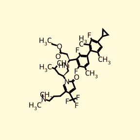 CCOC(=O)C[C@H](NC[C@H](CC(C)C)n1cc(CCCN(C)C)c(C(F)(F)F)cc1=O)c1c(F)c(C)cc(-c2c(C)cc(C3CC3)c(F)c2C)c1F